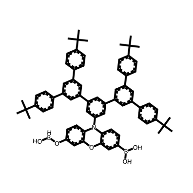 CC(C)(C)c1ccc(-c2cc(-c3ccc(C(C)(C)C)cc3)cc(-c3cc(-c4cc(-c5ccc(C(C)(C)C)cc5)cc(-c5ccc(C(C)(C)C)cc5)c4)cc(N4c5ccc(OBO)cc5Oc5cc(B(O)O)ccc54)c3)c2)cc1